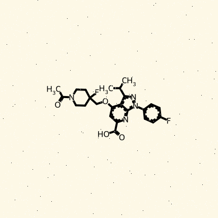 CC(=O)N1CCC(F)(COc2cc(C(=O)O)nc3c2c(C(C)C)nn3-c2ccc(F)cc2)CC1